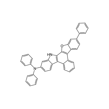 c1ccc(-c2ccc3c(c2)oc2c4[nH]c5cc(N(c6ccccc6)c6ccccc6)ccc5c4c4ccccc4c32)cc1